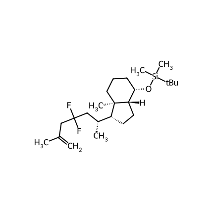 C=C(C)CC(F)(F)C[C@@H](C)[C@H]1CC[C@H]2[C@@H](O[Si](C)(C)C(C)(C)C)CCC[C@]12C